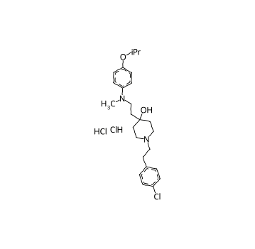 CC(C)Oc1ccc(N(C)CCC2(O)CCN(CCc3ccc(Cl)cc3)CC2)cc1.Cl.Cl